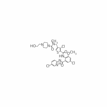 COc1cc(Cl)cc(C(=O)Nc2ccc(Cl)cn2)c1NC(=O)c1scc(CN(C)C(=O)N2CCN(CCO)CC2)c1Cl